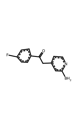 Bc1cc(CC(=O)c2ccc(F)cc2)ccn1